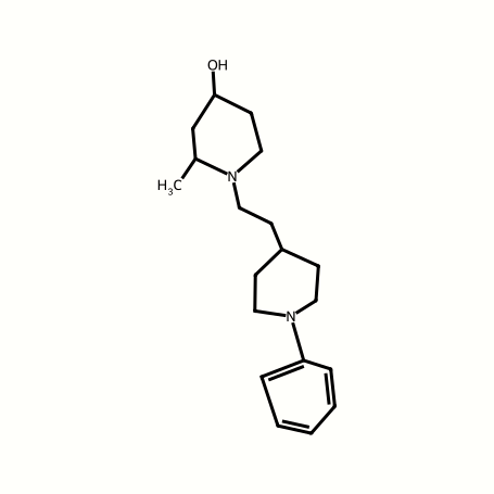 CC1CC(O)CCN1CCC1CCN(c2ccccc2)CC1